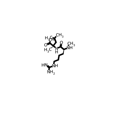 CN[C@@H](CCCCNC(=N)N)C(=O)N[C@](C)(CC(C)C)C(C)=O